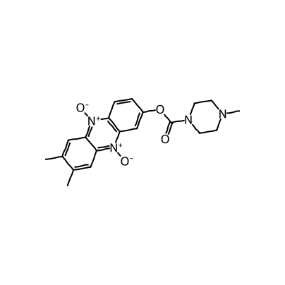 Cc1cc2c(cc1C)[n+]([O-])c1cc(OC(=O)N3CCN(C)CC3)ccc1[n+]2[O-]